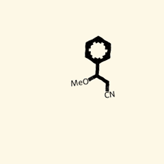 COC(CC#N)c1ccccc1